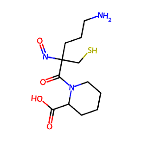 NCCCC(CS)(N=O)C(=O)N1CCCCC1C(=O)O